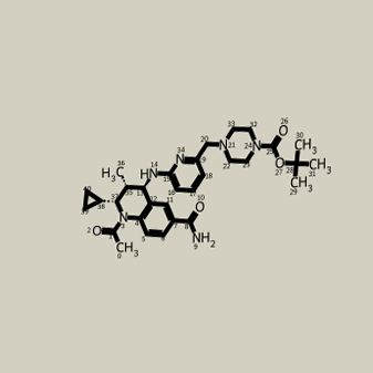 CC(=O)N1c2ccc(C(N)=O)cc2[C@H](Nc2cccc(CN3CCN(C(=O)OC(C)(C)C)CC3)n2)[C@@H](C)[C@H]1C1CC1